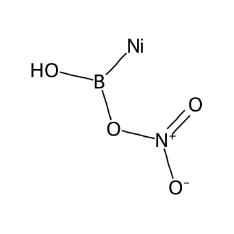 O=[N+]([O-])O[B](O)[Ni]